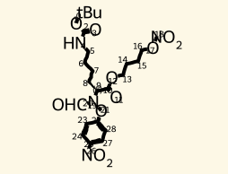 CC(C)(C)OC(=O)NCCCC[C@@H](C(=O)OCCCCO[N+](=O)[O-])N(C=O)Oc1ccc([N+](=O)[O-])cc1